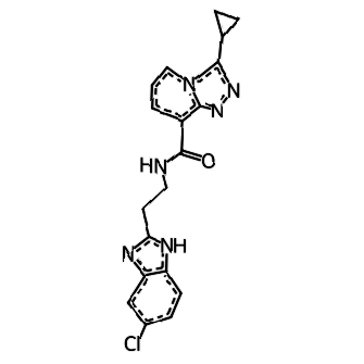 O=C(NCCc1nc2cc(Cl)ccc2[nH]1)c1cccn2c(C3CC3)nnc12